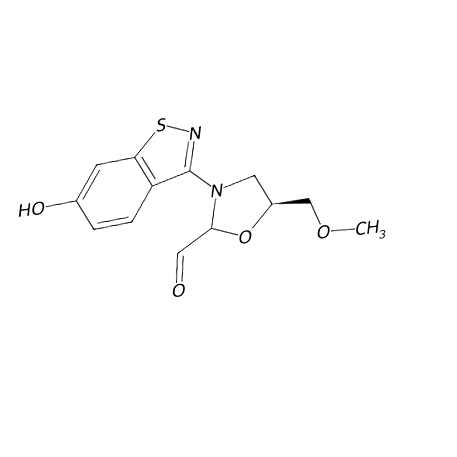 COC[C@@H]1CN(c2nsc3cc(O)ccc23)C(C=O)O1